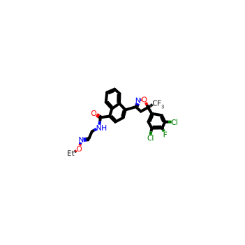 CCO/N=C/CNC(=O)c1ccc(C2=NOC(c3cc(Cl)c(F)c(Cl)c3)(C(F)(F)F)C2)c2ccccc12